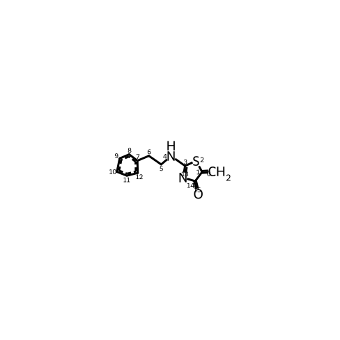 C=C1SC(NCCc2ccccc2)=NC1=O